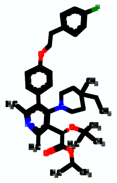 CCC1(C)CCN(c2c(-c3ccc(OCCc4ccc(F)cc4)cc3)c(C)nc(C)c2[C@H](OC(C)(C)C)C(=O)OC(C)C)CC1